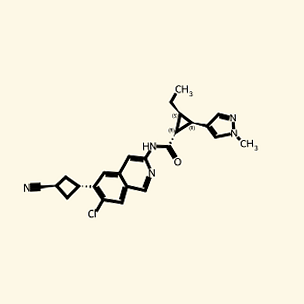 CC[C@@H]1[C@@H](C(=O)Nc2cc3cc([C@H]4C[C@H](C#N)C4)c(Cl)cc3cn2)[C@@H]1c1cnn(C)c1